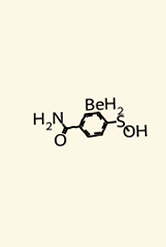 NC(=O)c1ccc(SO)cc1.[BeH2]